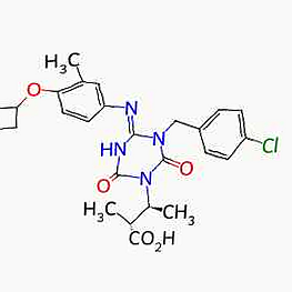 Cc1cc(/N=c2\[nH]c(=O)n([C@@H](C)[C@@H](C)C(=O)O)c(=O)n2Cc2ccc(Cl)cc2)ccc1OC1CCC1